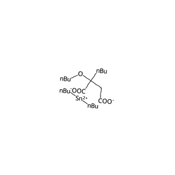 CCCCOC(CCCC)(CC(=O)[O-])C(=O)[O-].CCC[CH2][Sn+2][CH2]CCC